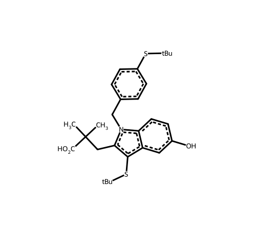 CC(C)(C)Sc1ccc(Cn2c(CC(C)(C)C(=O)O)c(SC(C)(C)C)c3cc(O)ccc32)cc1